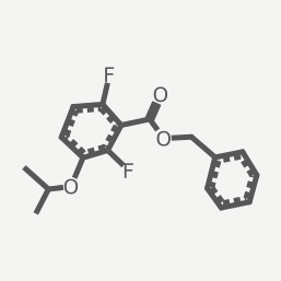 CC(C)Oc1ccc(F)c(C(=O)OCc2ccccc2)c1F